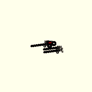 CCCCCCCCCCCCC(N)=O.CCCCCCCCCCCCC(N)=O.CCCCCCCCCCCCC(N)=O.O=C(O)C1=C(C2=CCCCCCC2)CCCCCC1(C(=O)O)C(=O)O